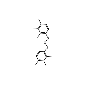 Cc1ccc(SOSc2ccc(C)c(C)c2C)c(C)c1C